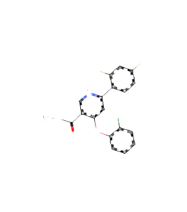 COC(=O)c1cnc(-c2ccc(F)cc2F)cc1Oc1ccccc1Cl